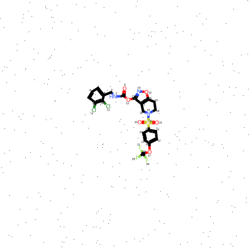 O=C(NCc1cccc(Cl)c1Cl)Oc1noc2c1CN(S(=O)(=O)c1ccc(OC(F)(F)F)cc1)CC2